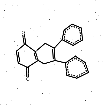 O=C1C=CC(=O)C2=C1CC(c1ccccc1)=C(c1ccccc1)C2